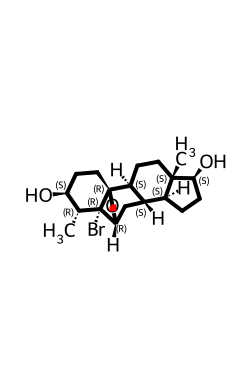 C[C@@H]1[C@@H](O)CC[C@]23CO[C@H](C[C@H]4[C@@H]5CC[C@H](O)[C@@]5(C)CC[C@@H]42)[C@@]13Br